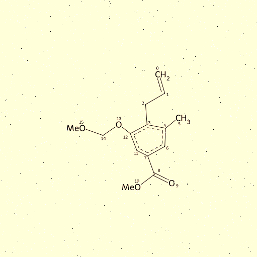 C=CCc1c(C)cc(C(=O)OC)cc1OCOC